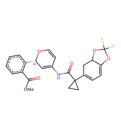 COC(=O)c1ccccc1[C@H]1C=C(NC(=O)C2(C3=CC=C4OC(F)(F)OC4C3)CC2)C=CO1